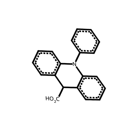 O=C(O)C1c2ccccc2N(c2ccccc2)c2ccccc21